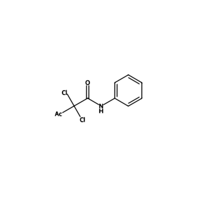 CC(=O)C(Cl)(Cl)C(=O)Nc1ccccc1